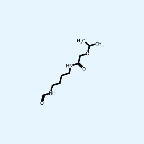 CC(C)OCC(=O)NCCCCNC=O